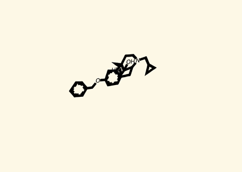 OC12CCNCCC13CCN(CC1CC1)C2Cc1ccc(OCc2ccccc2)cc13